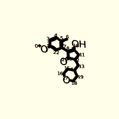 COc1ccc(C)c(C2=C(O)CC(CC3CCOCC3)C2=O)c1